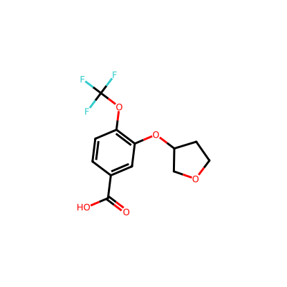 O=C(O)c1ccc(OC(F)(F)F)c(OC2CCOC2)c1